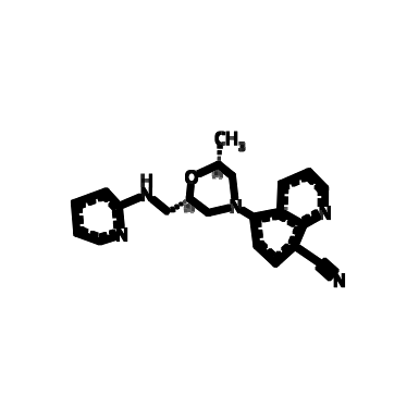 C[C@@H]1CN(c2ccc(C#N)c3ncccc23)C[C@H](CNc2ccccn2)O1